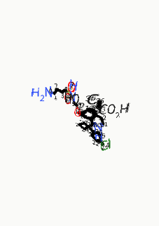 NCCCCS(=O)(=O)NCCOc1ccc2c(c1)C(C1(c3ccc(Cl)cc3)CCC1)NCC2.O=C(O)C=CC(=O)O